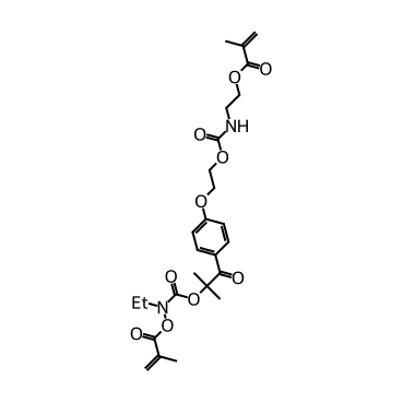 C=C(C)C(=O)OCCNC(=O)OCCOc1ccc(C(=O)C(C)(C)OC(=O)N(CC)OC(=O)C(=C)C)cc1